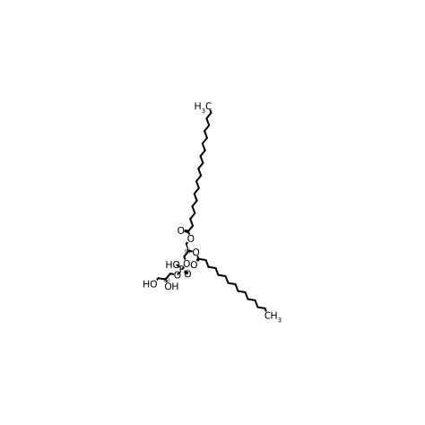 CCCCCCCCCCCCCCCCCCCCC(=O)OC[C@H](COP(=O)(O)OC[C@@H](O)CO)OC(=O)CCCCCCCCCCCCCC